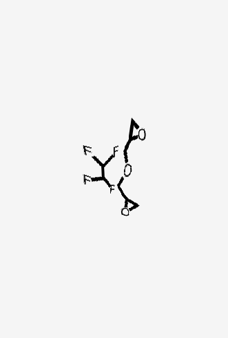 C(OCC1CO1)C1CO1.FC(F)C(F)F